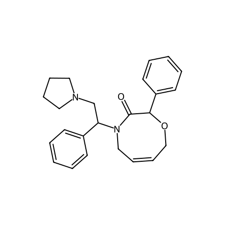 O=C1C(c2ccccc2)OC/C=C\CN1C(CN1CCCC1)c1ccccc1